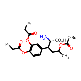 CC(C)COC(=O)OC(C)CC(c1ccc(OC(=O)CC(C)C)c(OC(=O)CC(C)C)c1)[C@H](N)C(=O)O